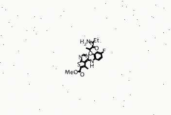 CCN(N)C(=O)C(C)Oc1cc(F)ccc1Nc1ncnc2sc(C(=O)OC)c(C)c12